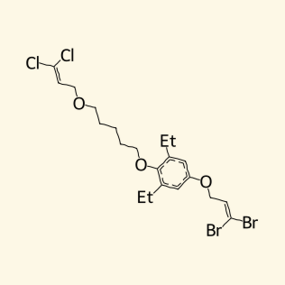 CCc1cc(OCC=C(Br)Br)cc(CC)c1OCCCCCOCC=C(Cl)Cl